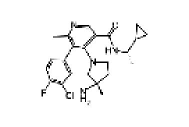 Cc1ncc(C(=O)N[C@@H](C)C2CC2)c(N2CC[C@](C)(N)C2)c1-c1ccc(F)c(Cl)c1